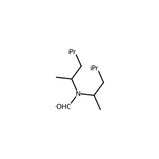 CC(C)CC(C)N([C]=O)C(C)CC(C)C